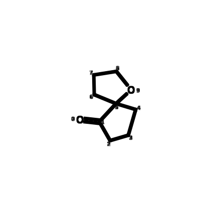 O=C1CCCC12CCCO2